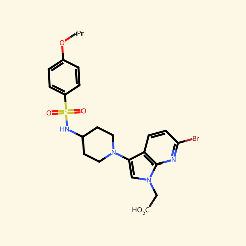 CC(C)Oc1ccc(S(=O)(=O)NC2CCN(c3cn(CC(=O)O)c4nc(Br)ccc34)CC2)cc1